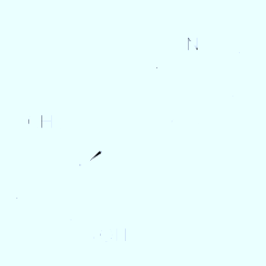 CC1=CC=C(O)[C@@H]1C#Cc1cccnc1